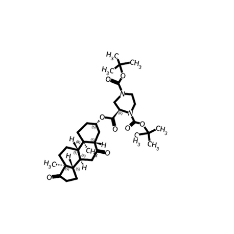 CC(C)(C)OC(=O)N1CCN(C(=O)OC(C)(C)C)[C@@H](C(=O)O[C@H]2CC[C@@]3(C)[C@H](C2)C(=O)C[C@@H]2[C@@H]3CC[C@]3(C)C(=O)CC[C@@H]23)C1